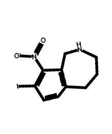 O=[N+]([O-])c1c(I)ccc2c1CNCCC2